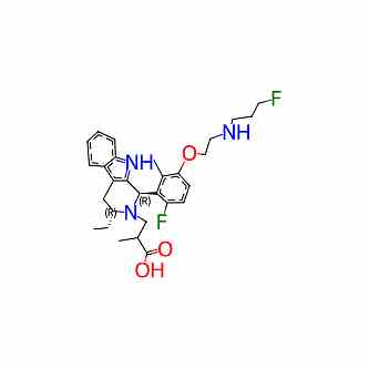 CC[C@@H]1Cc2c([nH]c3ccccc23)[C@@H](c2c(F)ccc(OCCNCCCF)c2C)N1CC(C)C(=O)O